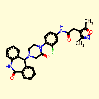 Cc1noc(C)c1CC(=O)Nc1ccc(N2CCN(C3c4ccccc4NC(=O)c4ccccc43)CC2=O)c(Cl)c1